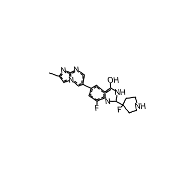 Cc1cn2cc(-c3cc(F)c4c(c3)=C(O)NC(C3(F)CCNCC3)N=4)cnc2n1